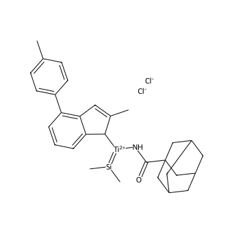 CC1=Cc2c(-c3ccc(C)cc3)cccc2[CH]1[Ti+2]([NH]C(=O)C12CC3CC(CC(C3)C1)C2)=[Si](C)C.[Cl-].[Cl-]